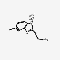 Cc1ccc2[nH]c(CCN)nc2c1.Cl.Cl